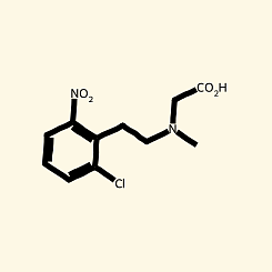 CN(CCc1c(Cl)cccc1[N+](=O)[O-])CC(=O)O